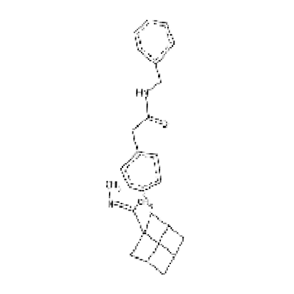 C/N=C(\C)C12CC3CC4CC([C@H]1c1ccc(CC(=O)NCc5ccccc5)cc1)C432